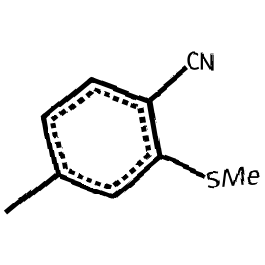 CSc1cc(C)ccc1C#N